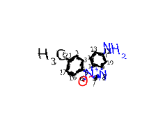 Cc1ccc([N+]2([O-])C=Nc3cc(N)ccc32)cc1